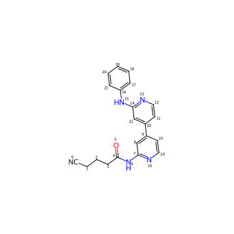 N#CCCCC(=O)Nc1cc(-c2ccnc(Nc3ccccc3)c2)ccn1